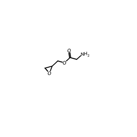 NCC(=O)OCC1CO1